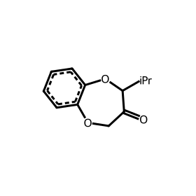 CC(C)C1Oc2ccccc2OCC1=O